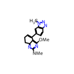 CNc1nc2c(c(OC)n1)C(c1ccc3nnn(C)c3c1)=CCC2